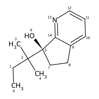 CCC(C)(C)[C@@]1(O)CCc2cccnc21